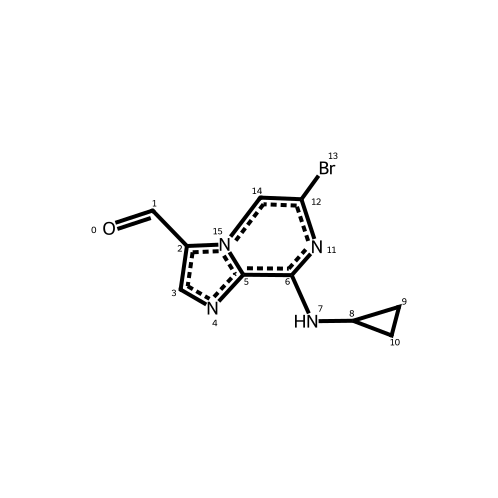 O=Cc1cnc2c(NC3CC3)nc(Br)cn12